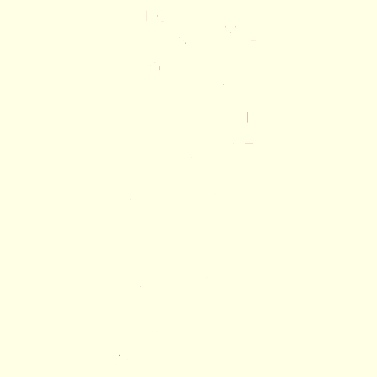 CC(=O)C1CC2CC1C1C3CC(C21)C(C)(CC(F)(F)S(C)(=O)=O)C3